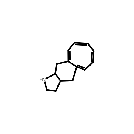 C1=C\C=C2\CC3CCNC3C\C2=C\C=C/1